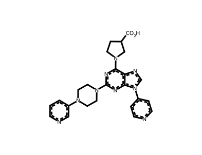 O=C(O)C1CCN(c2nc(N3CCN(c4cccnc4)CC3)nc3c2ncn3-c2ccncc2)C1